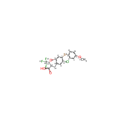 COc1ccc(Sc2cc3c(cc2Cl)CC(C(=O)O)C(C(F)(F)F)O3)cc1